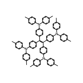 Cc1ccc(N(c2ccc(C)cc2)c2ccc(C(=C(c3ccc(N(c4ccc(C)cc4)c4ccc(C)cc4)cc3)c3ccc(N(c4ccc(C)cc4)c4ccc(C)cc4)cc3)c3ccc(N(c4ccc(C)cc4)c4ccc(C)cc4)cc3)cc2)cc1